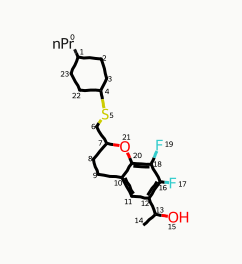 CCCC1CCC(SCC2CCc3cc(C(C)O)c(F)c(F)c3O2)CC1